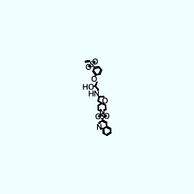 C=CS(=O)(=O)c1cccc(OCC(O)CNC2COC3(CCN(S(=O)(=O)c4cnc5ccccc5c4)CC3)C2)c1